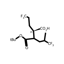 CC(CC(C(=O)OC(C)(C)C)[C@@H](CCC(F)(F)F)C(=O)O)C(F)(F)F